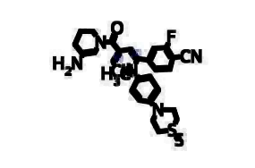 C/C=C(\C=C(\c1ccc(C#N)c(F)c1)N(C)c1ccc(N2CCS(=S)CC2)cc1)C(=O)N1C=C(N)CCC1